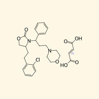 O=C(O)/C=C/C(=O)O.O=C1OCC(CCc2ccccc2Cl)N1C(CCN1CCOCC1)c1ccccc1